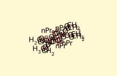 C=C(C)C(=O)OCCOCCC(CCOCCOC(=O)C(=C)C)N1C(=O)c2cc(Oc3ccc(CCC)cc3)c3c4c(Oc5ccc(CCC)cc5)cc5c6c(cc(Oc7ccc(CCC)cc7)c(c7c(Oc8ccc(CCC)cc8)cc(c2c37)C1=O)c64)C(=O)N(C(CCC1CCCCCC1)C(=O)N(CCOCCOC(=O)C(=C)C)CCOCCOC(=O)C(=C)C)C5=O